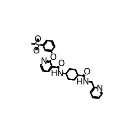 CS(=O)(=O)c1cccc(Oc2ncccc2C(=O)NC2CCC(C(=O)NCc3ccccn3)CC2)c1